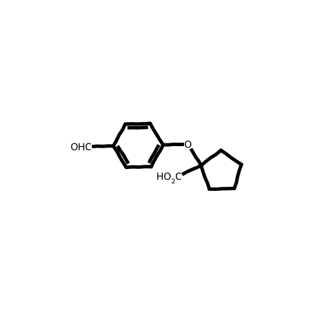 O=Cc1ccc(OC2(C(=O)O)CCCC2)cc1